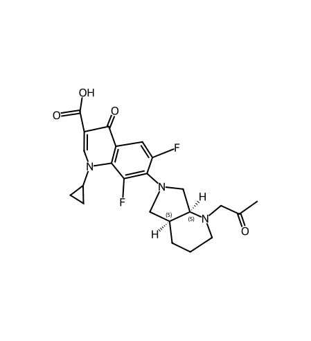 CC(=O)CN1CCC[C@H]2CN(c3c(F)cc4c(=O)c(C(=O)O)cn(C5CC5)c4c3F)C[C@H]21